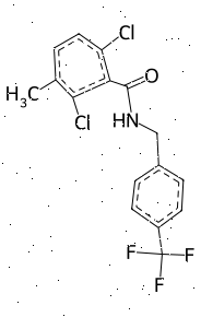 Cc1ccc(Cl)c(C(=O)NCc2ccc(C(F)(F)F)cc2)c1Cl